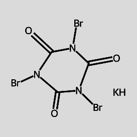 O=c1n(Br)c(=O)n(Br)c(=O)n1Br.[KH]